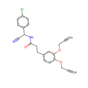 C#CCOc1ccc(CCC(=O)NC(C#N)c2ccc(Cl)cc2)cc1OCC#C